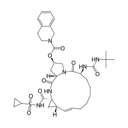 CC(C)(C)NC(=O)N[C@H]1CCCCC/C=C/[C@@H]2C[C@@]2(C(=O)NS(=O)(=O)C2CC2)NC(=O)[C@@H]2C[C@@H](OC(=O)N3CCc4ccccc4C3)CN2C1=O